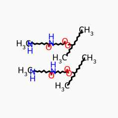 CCCCCCCCC(CCCCCC)COC(=O)CCCCCNC(=O)CCCCCCCNC.CCCCCCCCC(CCCCCC)COC(=O)CCCCCNC(=O)CCCCCCCNC